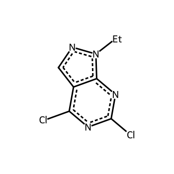 CCn1ncc2c(Cl)nc(Cl)nc21